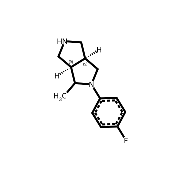 CC1[C@H]2CNC[C@H]2CN1c1ccc(F)cc1